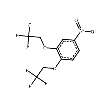 O=[N+]([O-])c1ccc(OCC(F)(F)F)c(OCC(F)(F)F)c1